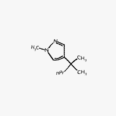 CCCC(C)(C)c1cnn(C)c1